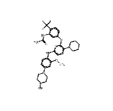 COc1cc(N2CCN(C)CC2)ccc1Nc1ccc(N2CCCCC2)c(Oc2ccc(C(F)(F)F)c(NC(C)=O)c2)n1